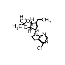 C=CC1=C[C@@H](N2CCc3c(Cl)ncnc32)[C@@H]2OC(C)(C)O[C@H]12